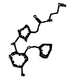 COCCNC(=O)Cc1csc(Nc2ncc(Br)cc2Oc2ccccc2)n1